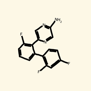 Nc1cnc(-c2c(F)cccc2-c2ccc(F)cc2F)cn1